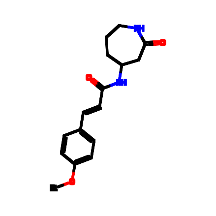 CCOc1ccc(C=CC(=O)NC2CCCNC(=O)C2)cc1